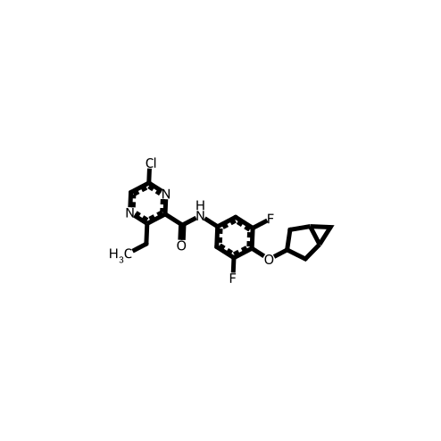 CCc1ncc(Cl)nc1C(=O)Nc1cc(F)c(OC2CC3CC3C2)c(F)c1